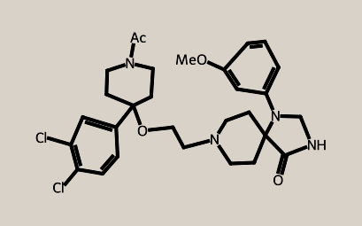 COc1cccc(N2CNC(=O)C23CCN(CCOC2(c4ccc(Cl)c(Cl)c4)CCN(C(C)=O)CC2)CC3)c1